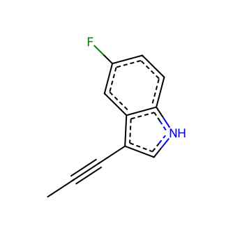 CC#Cc1c[nH]c2ccc(F)cc12